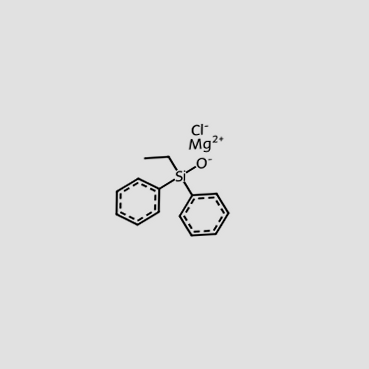 CC[Si]([O-])(c1ccccc1)c1ccccc1.[Cl-].[Mg+2]